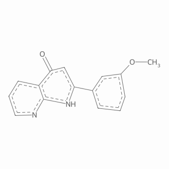 COc1cccc(-c2cc(=O)c3cccnc3[nH]2)c1